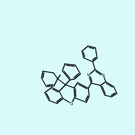 CC1(C2(c3ccccc3)c3ccccc3Oc3ccc(-c4nc(-c5ccccc5)nc5ccccc45)cc32)C=CC=CC1